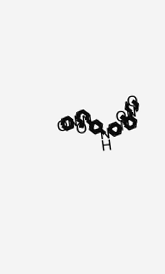 O=C1C(N2CCOCC2)=CCCN1c1ccc(Nc2ccc(N3CCC=C(N4CCOCC4)C3=O)cc2)cc1